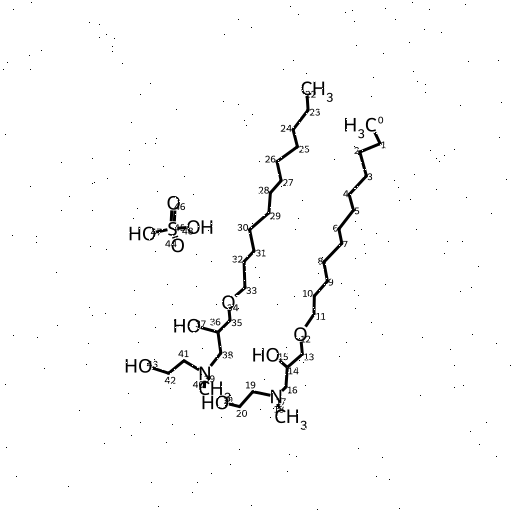 CCCCCCCCCCCCOCC(O)CN(C)CCO.CCCCCCCCCCCCOCC(O)CN(C)CCO.O=S(=O)(O)O